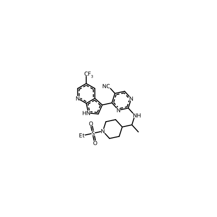 CCS(=O)(=O)N1CCC(C(C)Nc2ncc(C#N)c(-c3c[nH]c4ncc(C(F)(F)F)cc34)n2)CC1